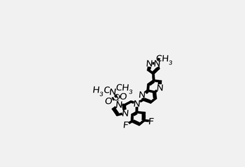 CN(C)S(=O)(=O)n1ccnc1CN(c1cc(F)cc(F)c1)c1ccc2ncc(-c3cnn(C)c3)cc2n1